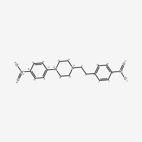 O=[N+]([O-])c1ccc(CCN2CCN(c3ccc([N+](=O)[O-])cc3)CC2)cc1